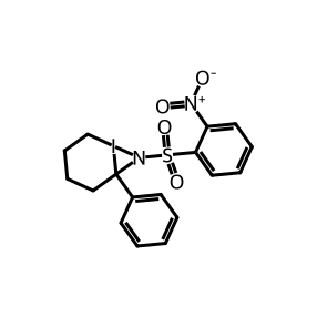 O=[N+]([O-])c1ccccc1S(=O)(=O)N1I2CCCCC12c1ccccc1